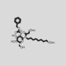 CCCCCCCCCCCCCCCCCCN(C(=O)CCCCCCCCCCC)[C@@H]1O[C@H](CO)[C@H](O)[C@H](O)[C@H]1NC(=O)OCc1ccccc1